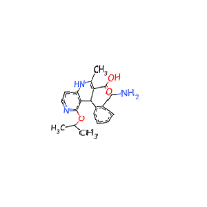 CC1=C(C(=O)O)C(c2ccccc2CN)c2c(ccnc2OC(C)C)N1